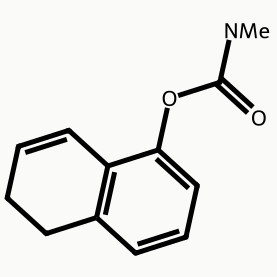 CNC(=O)Oc1cccc2c1C=CCC2